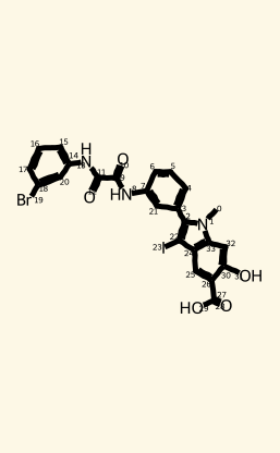 Cn1c(-c2cccc(NC(=O)C(=O)Nc3cccc(Br)c3)c2)c(I)c2cc(C(=O)O)c(O)cc21